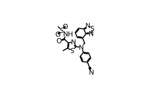 Cc1sc(N(Cc2cccc3nsnc23)c2ccc(C#N)cc2)nc1C(=O)NS(C)(=O)=O